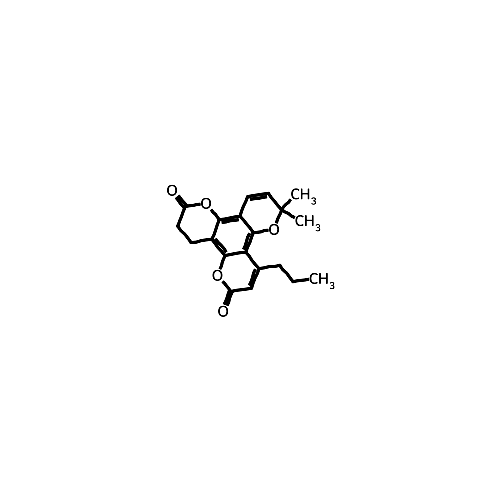 CCCc1cc(=O)oc2c3c(c4c(c12)OC(C)(C)C=C4)OC(=O)CC3